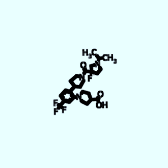 CC(C)N1CC[C@](F)(C(=O)N2CCC(c3ccc(C(F)(F)F)cc3N3CCC(C(=O)O)CC3)CC2)C1